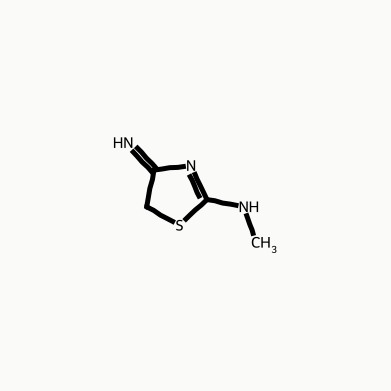 CNC1=NC(=N)CS1